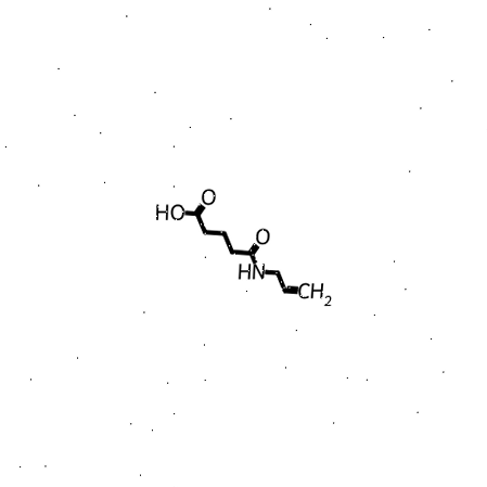 C=CCNC(=O)CCCC(=O)O